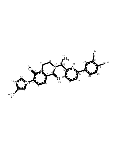 Cc1cn(-c2ccc3n(c2=O)CCN([C@@H](C)c2cccc(-c4ccc(F)c(Cl)c4)n2)C3=O)cn1